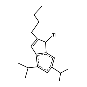 CCCCC1=Cc2c(C(C)C)cc(C(C)C)cc2[CH]1[Ti]